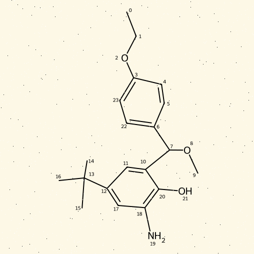 CCOc1ccc(C(OC)c2cc(C(C)(C)C)cc(N)c2O)cc1